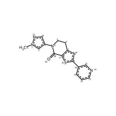 Cn1cc(N2CCc3nc(-c4cccnc4)sc3C2=O)cn1